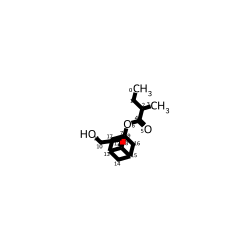 CCC(C)C(=O)OC12CC(CO)=C3C(CC3C1)C2